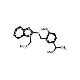 COc1ccc(C(C)OC)cc1CSc1nc2ccccc2n1CC(=O)O